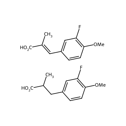 COc1ccc(C=C(C)C(=O)O)cc1F.COc1ccc(CC(C)C(=O)O)cc1F